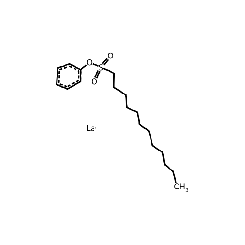 CCCCCCCCCCCCS(=O)(=O)Oc1ccccc1.[La]